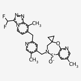 Cc1cnc2c(c1)[S+]([O-])N(Cc1cc(Cc3ccn4c(C(F)F)nnc4c3C)ncc1C)CC1(CC1)O2